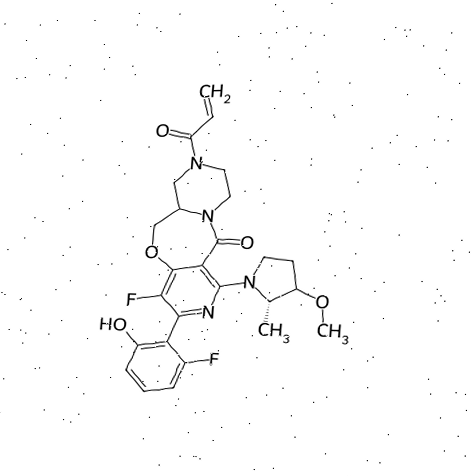 C=CC(=O)N1CCN2C(=O)c3c(N4CCC(OC)[C@@H]4C)nc(-c4c(O)cccc4F)c(F)c3OCC2C1